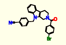 N#Cc1ccc(Cn2c3c(c4ccccc42)CCN(C(=O)c2ccc(Br)cc2)C3)cc1